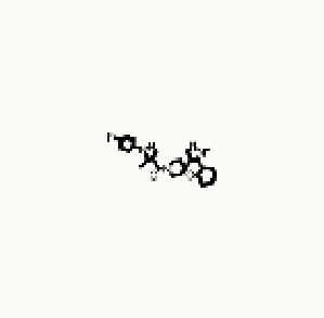 Cc1c(C(=O)N2CCC3(CC2)Oc2ccccc2-c2c3cnn2C)cnn1-c1ccc(F)cc1